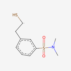 CN(C)S(=O)(=O)c1cccc(C[CH]S)c1